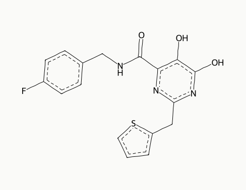 O=C(NCc1ccc(F)cc1)c1nc(Cc2cccs2)nc(O)c1O